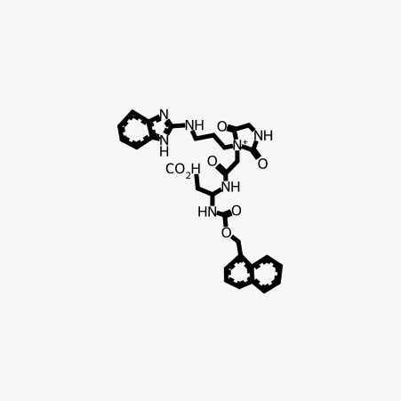 O=C(O)CC(NC(=O)C[N+]1(CCCNc2nc3ccccc3[nH]2)C(=O)CNC1=O)NC(=O)OCc1cccc2ccccc12